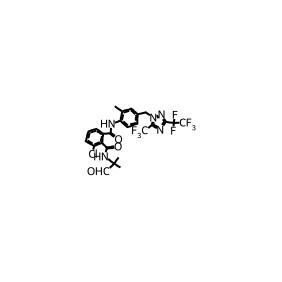 Cc1cc(Cn2nc(C(F)(F)C(F)(F)F)nc2C(F)(F)F)ccc1NC(=O)c1cccc(Cl)c1C(=O)NC(C)(C)C=O